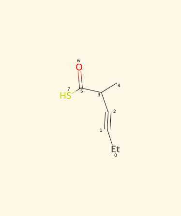 CCC#CC(C)C(=O)S